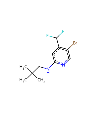 CC(C)(C)CNc1cc(C(F)F)c(Br)cn1